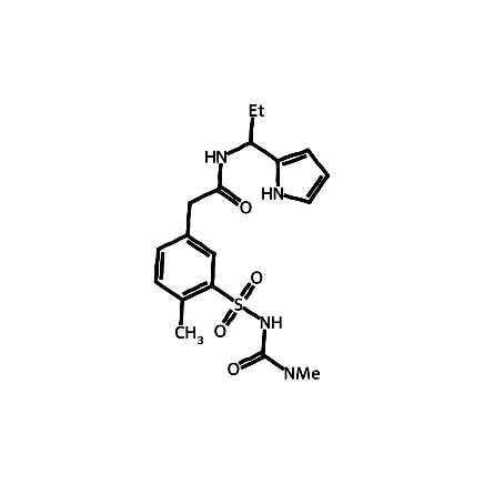 CCC(NC(=O)Cc1ccc(C)c(S(=O)(=O)NC(=O)NC)c1)c1ccc[nH]1